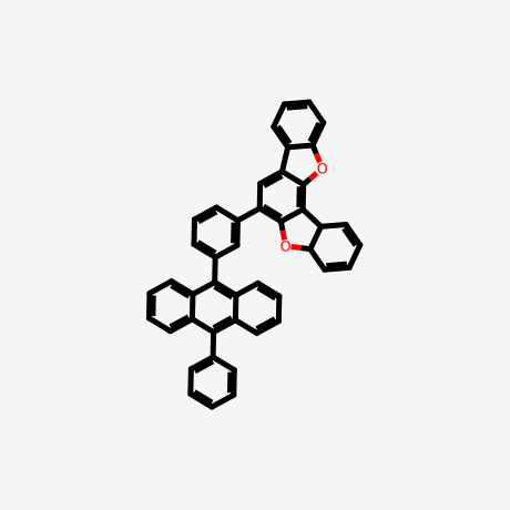 C1=CC2Oc3c(-c4cccc(-c5c6ccccc6c(-c6ccccc6)c6ccccc56)c4)cc4c(oc5ccccc54)c3C2C=C1